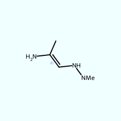 CNN/C=C(\C)N